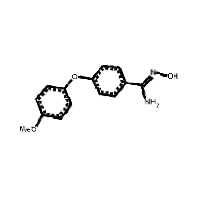 COc1ccc(Oc2ccc(/C(N)=N/O)cc2)cc1